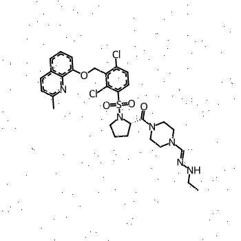 CCNN=CN1CCN(C(=O)[C@@H]2CCCN2S(=O)(=O)c2ccc(Cl)c(COc3cccc4ccc(C)nc34)c2Cl)CC1